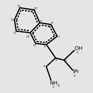 CC(C)C(O)C(CN)c1ccc2ccccc2c1